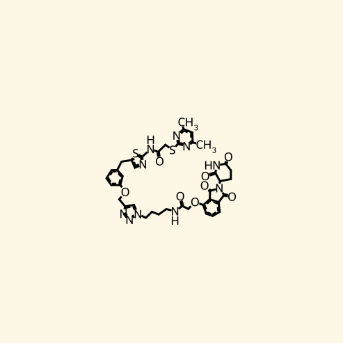 Cc1cc(C)nc(SCC(=O)Nc2ncc(Cc3cccc(OCc4cn(CCCCNC(=O)COc5cccc6c5C(=O)N(C5CCC(=O)NC5=O)C6=O)nn4)c3)s2)n1